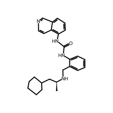 C[C@@H](CC1CCCCC1)NCc1ccccc1NC(=O)Nc1cccc2cnccc12